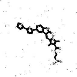 CCN(CC)CCNC(=O)c1c(C)[nH]c(/C=C2\C(=O)Nc3ccc(-c4ccc(-c5cccs5)s4)cc32)c1C